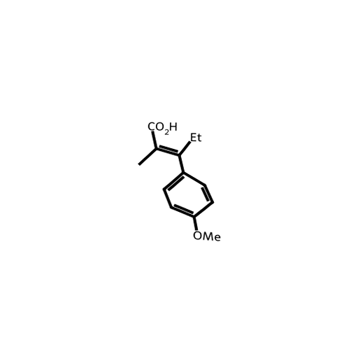 CCC(=C(C)C(=O)O)c1ccc(OC)cc1